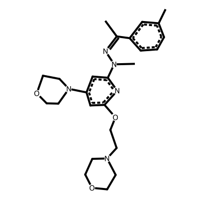 CC(=NN(C)c1cc(N2CCOCC2)cc(OCCN2CCOCC2)n1)c1cccc(C)c1